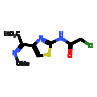 CCOC(=O)/C(=N/OC)c1csc(NC(=O)CCl)n1